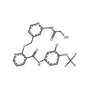 O=C(CO)Nc1cc(CSc2ncccc2C(=O)Nc2ccc(OC(F)(F)F)c(Cl)c2)ccn1